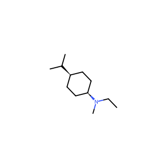 CCN(C)[C@H]1CC[C@@H](C(C)C)CC1